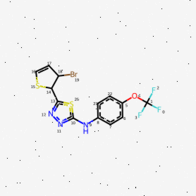 FC(F)(F)Oc1ccc(Nc2nnc(C3SC=CC3Br)s2)cc1